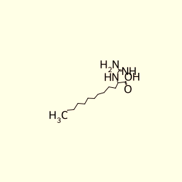 CCCCCCCCCCCC(NC(=N)N)C(=O)O